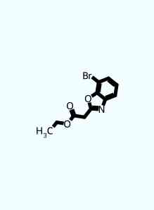 CCOC(=O)Cc1nc2cccc(Br)c2o1